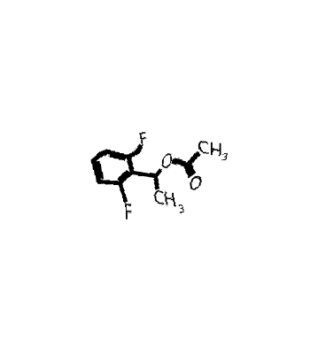 CC(=O)OC(C)c1c(F)cccc1F